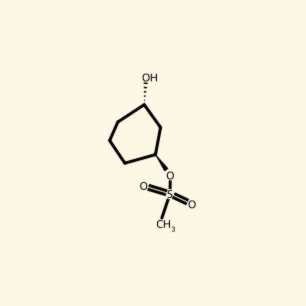 CS(=O)(=O)O[C@H]1CCC[C@H](O)C1